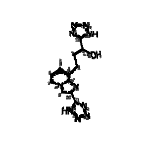 OC(CCc1cccn2cc(-c3nnn[nH]3)nc12)c1nnn[nH]1